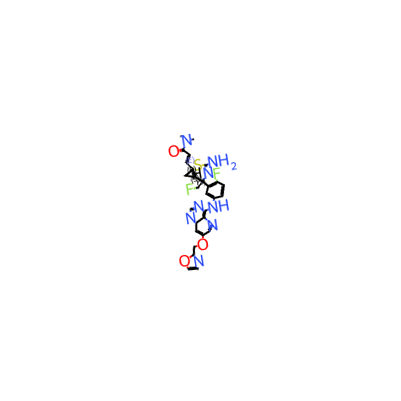 CN(C)C(=O)/C=C/[C@]12C[C@H]1[C@@](CF)(c1cc(Nc3ncnc4cc(OCc5ncco5)cnc34)ccc1F)N=C(N)S2